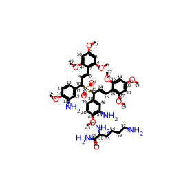 COc1cc(OC)c(C=CC(c2ccc(OC)c(N)c2)S(=O)(=O)C(C=Cc2c(OC)cc(OC)cc2OC)c2ccc(OC)c(N)c2)c(OC)c1.NCCCC[C@H](N)C(N)=O